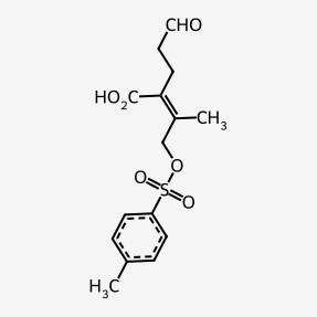 C/C(COS(=O)(=O)c1ccc(C)cc1)=C(\CCC=O)C(=O)O